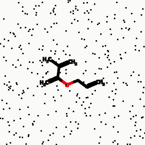 C=CCOC(=C)C(=C)C